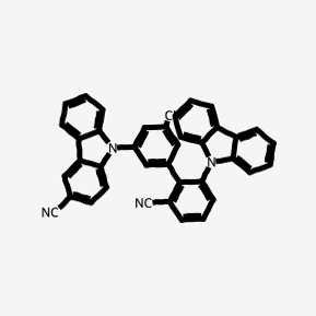 N#Cc1cc(-c2c(C#N)cccc2-n2c3ccccc3c3ccccc32)cc(-n2c3ccccc3c3cc(C#N)ccc32)c1